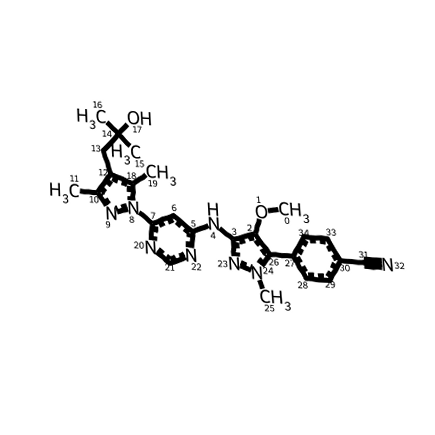 COc1c(Nc2cc(-n3nc(C)c(CC(C)(C)O)c3C)ncn2)nn(C)c1-c1ccc(C#N)cc1